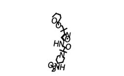 C[S+]([O-])NC1CCN(C(C)(C)C(=O)Nc2cc(C(C)(C)COC3CCCCO3)no2)CC1